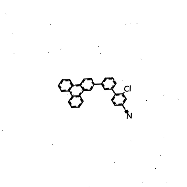 N#Cc1ccc(-c2cccc(-c3ccc4c5ccccc5c5ccccc5c4c3)c2)c(Cl)c1